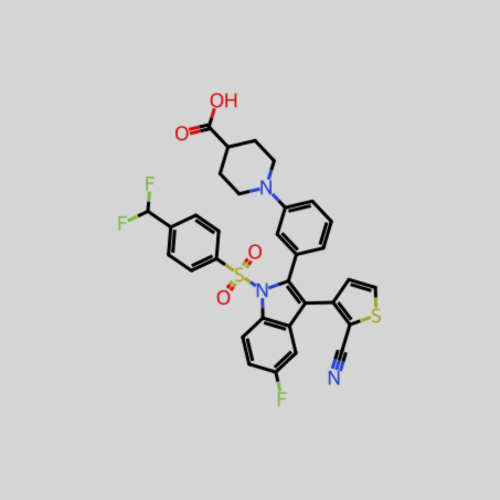 N#Cc1sccc1-c1c(-c2cccc(N3CCC(C(=O)O)CC3)c2)n(S(=O)(=O)c2ccc(C(F)F)cc2)c2ccc(F)cc12